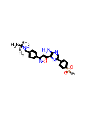 BC(B)(B)NCc1ccc(-c2cc(-c3nc(-c4ccc(S(=O)(=O)C(C)C)cc4)cnc3N)on2)cc1